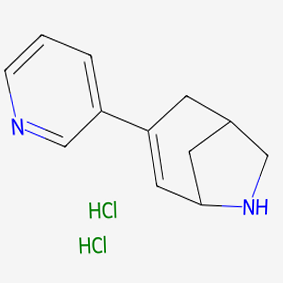 C1=C(c2cccnc2)CC2CNC1C2.Cl.Cl